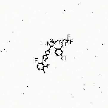 Cc1ccc(F)c(N2CC3(CC(c4nnc5n4-c4ccc(Cl)cc4CN(CC(F)(F)F)C5)C3)C2)c1F